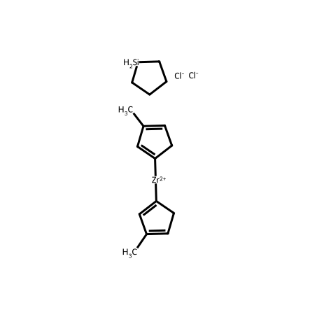 C1CC[SiH2]C1.CC1=CC[C]([Zr+2][C]2=CC(C)=CC2)=C1.[Cl-].[Cl-]